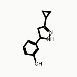 Oc1cccc(C2CC(C3CC3)=NN2)c1